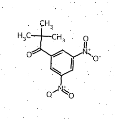 CC(C)(C)C(=O)c1cc([N+](=O)[O-])cc([N+](=O)[O-])c1